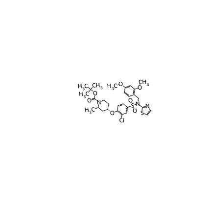 COc1ccc(CN(c2nccs2)S(=O)(=O)c2ccc(O[C@H]3CCN(C(=O)OC(C)(C)C)C(C)C3)c(Cl)c2)c(OC)c1